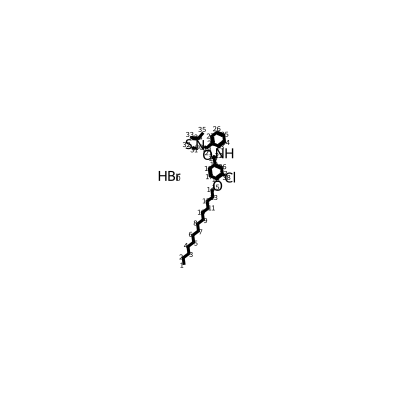 Br.CCCCCCCCCCCCCCOc1ccc(C(=O)Nc2ccccc2CN2CSC=C2C)cc1Cl